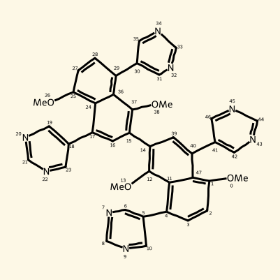 COc1ccc(-c2cncnc2)c2c(OC)c(-c3cc(-c4cncnc4)c4c(OC)ccc(-c5cncnc5)c4c3OC)cc(-c3cncnc3)c12